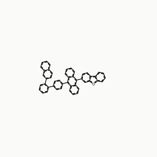 c1ccc(-c2ccc3ccccc3c2)c(-c2ccc(-c3c4ccccc4c(-c4ccc5c(c4)oc4ccccc45)c4ccccc34)cc2)c1